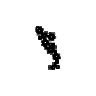 Cc1nc(Sc2ccc(OCC(=O)O)cc2)ccc1CN1CCC(N2C(=O)N(C3CCOCC3)CC2c2ccccc2)CC1